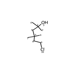 CC(C)(O)CC(C)(C)CCCl